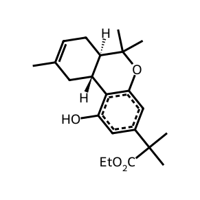 CCOC(=O)C(C)(C)c1cc(O)c2c(c1)OC(C)(C)[C@@H]1CC=C(C)C[C@@H]21